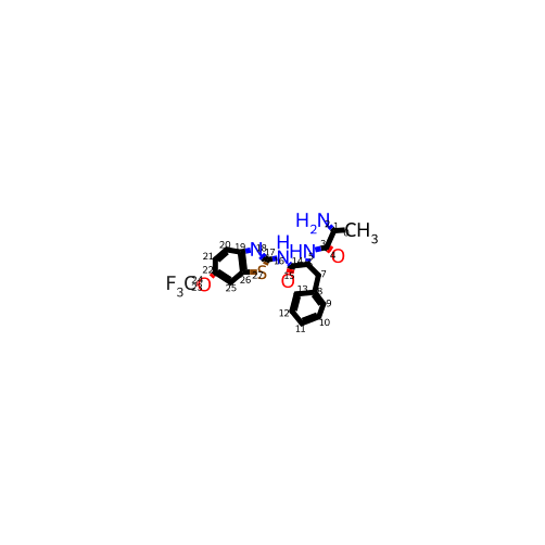 CC(N)C(=O)NC(Cc1ccccc1)C(=O)Nc1nc2ccc(OC(F)(F)F)cc2s1